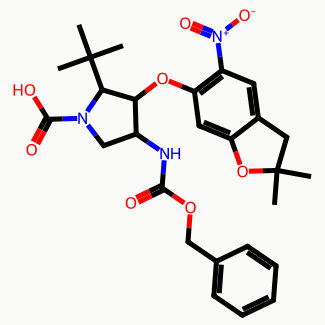 CC1(C)Cc2cc([N+](=O)[O-])c(OC3C(NC(=O)OCc4ccccc4)CN(C(=O)O)C3C(C)(C)C)cc2O1